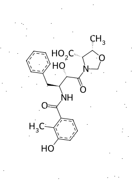 Cc1c(O)cccc1C(=O)N[C@@H](Cc1ccccc1)[C@H](O)C(=O)N1CO[C@@H](C)[C@H]1C(=O)O